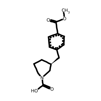 COC(=O)c1ccc(C[C@@H]2CCCN(C(=O)O)C2)cc1